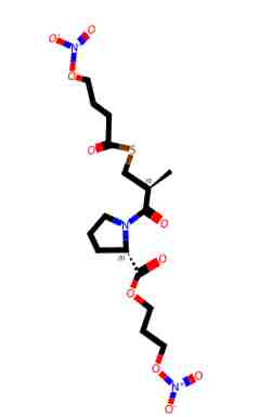 C[C@H](CSC(=O)CCCO[N+](=O)[O-])C(=O)N1CCC[C@H]1C(=O)OCCCO[N+](=O)[O-]